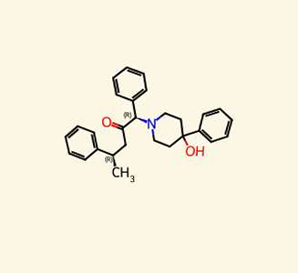 C[C@H](CC(=O)[C@@H](c1ccccc1)N1CCC(O)(c2ccccc2)CC1)c1ccccc1